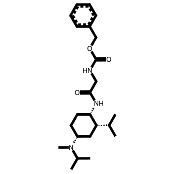 CC(C)[C@@H]1C[C@H](N(C)C(C)C)CC[C@@H]1NC(=O)CNC(=O)OCc1ccccc1